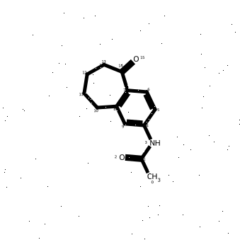 CC(=O)Nc1ccc2c(c1)CCCCC2=O